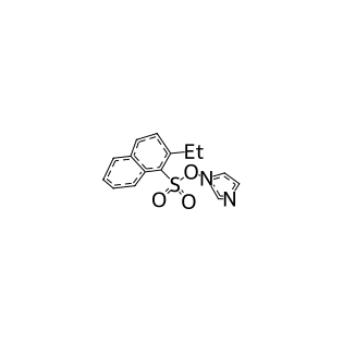 CCc1ccc2ccccc2c1S(=O)(=O)On1ccnc1